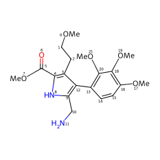 COCCc1c(C(=O)OC)[nH]c(CN)c1-c1ccc(OC)c(OC)c1OC